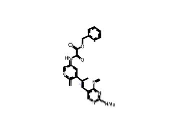 C=Nc1nc(NC)ncc1/C=C(\C)c1cc(NC(=O)C(=O)OCc2ccccc2)cnc1C